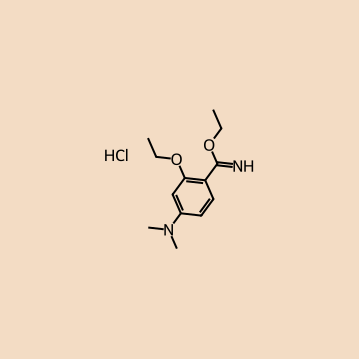 CCOC(=N)c1ccc(N(C)C)cc1OCC.Cl